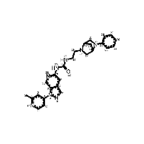 Cc1cc(-n2ncc3cc(NC(=O)NCCN4CC5CC4CN5c4ccccc4)ncc32)ccn1